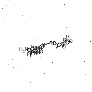 C[C@@H](Nc1ncnc2c1cc(N1CCN(CCCCCN3CCC(c4cc5c(cc4F)C(=O)N(C4CCC(=O)NC4=O)C5)CC3)CC1)c(=O)n2C)c1cc(N)cc(C(F)(F)F)c1